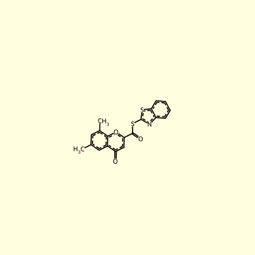 Cc1cc(C)c2oc(C(=O)Sc3nc4ccccc4s3)cc(=O)c2c1